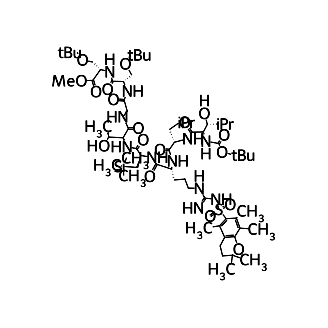 COC(=O)[C@H](COC(C)(C)C)NC(=O)[C@H](COC(C)(C)C)NC(=O)CNC(=O)[C@@H](NC(=O)[C@H](C[Si](C)(C)C)NC(=O)[C@@H](CCCNC(=N)NS(=O)(=O)c1c(C)c(C)c2c(c1C)CCC(C)(C)O2)NC(=O)[C@H](CC(C)C)NC(=O)[C@@H](NC(=O)OC(C)(C)C)[C@H](O)C(C)C)[C@H](C)O